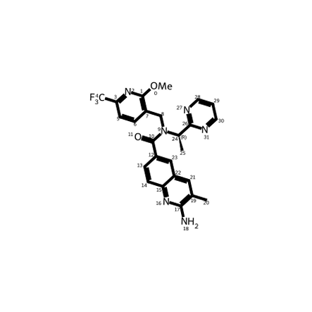 COc1nc(C(F)(F)F)ccc1CN(C(=O)c1ccc2nc(N)c(C)cc2c1)[C@H](C)c1ncccn1